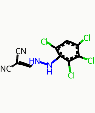 N#CC(C#N)=CNNc1c(Cl)cc(Cl)c(Cl)c1Cl